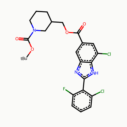 CC(C)(C)OC(=O)N1CCCC(COC(=O)c2cc(Cl)c3[nH]c(-c4c(F)cccc4Cl)nc3c2)C1